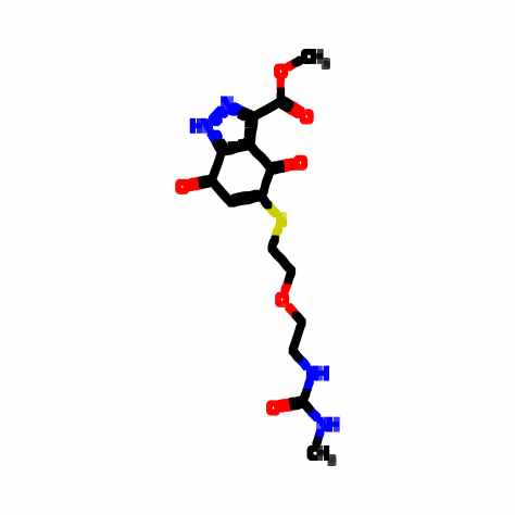 CNC(=O)NCCOCCSC1=CC(=O)c2[nH]nc(C(=O)OC)c2C1=O